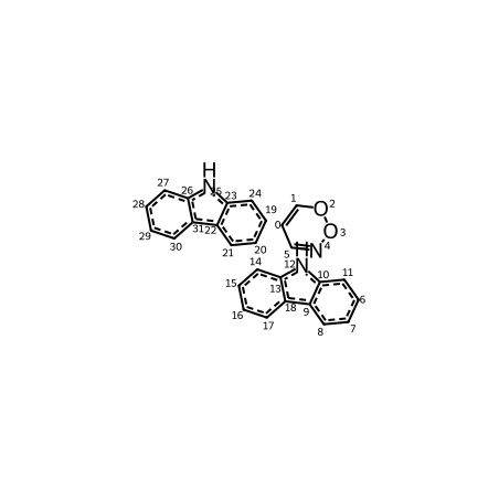 C1=COON=C1.c1ccc2c(c1)[nH]c1ccccc12.c1ccc2c(c1)[nH]c1ccccc12